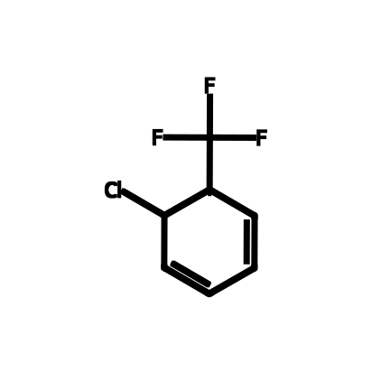 FC(F)(F)[C]1C=CC=CC1Cl